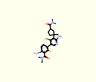 CN(C)C(=O)c1c(N)ccc(-c2cnc3c(c2Cl)C2(CCC(C(=O)N(C)C)C2)CN3)c1F